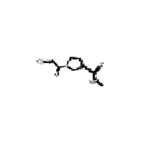 CNC(=O)C1CCN(C(=O)CCl)C1